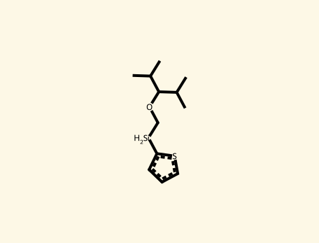 CC(C)C(OC[SiH2]c1cccs1)C(C)C